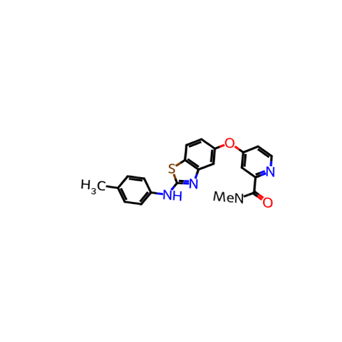 CNC(=O)c1cc(Oc2ccc3sc(Nc4ccc(C)cc4)nc3c2)ccn1